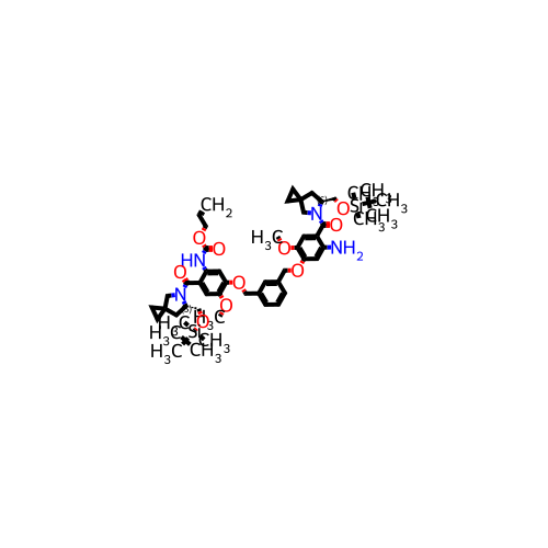 C=CCOC(=O)Nc1cc(OCc2cccc(COc3cc(N)c(C(=O)N4CC5(CC5)C[C@H]4CO[Si](C)(C)C(C)(C)C)cc3OC)c2)c(OC)cc1C(=O)N1CC2(CC2)C[C@H]1CO[Si](C)(C)C(C)(C)C